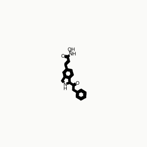 O=C(/C=C/c1ccc2c(c1)CNC2C(=O)Cc1ccccc1)NO